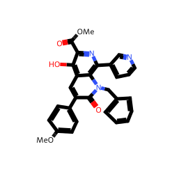 COC(=O)c1nc(-c2cccnc2)c2c(cc(-c3ccc(OC)cc3)c(=O)n2Cc2ccccc2)c1O